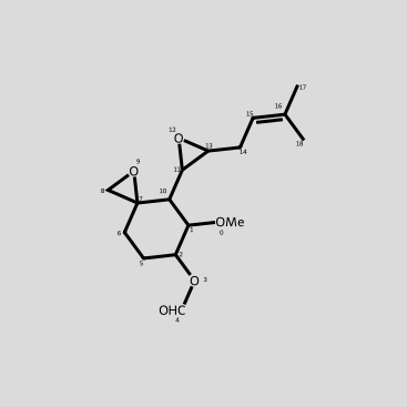 COC1C(OC=O)CCC2(CO2)C1C1OC1CC=C(C)C